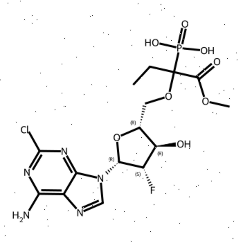 CCC(OC[C@H]1O[C@@H](n2cnc3c(N)nc(Cl)nc32)[C@@H](F)[C@@H]1O)(C(=O)OC)P(=O)(O)O